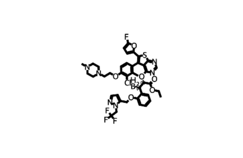 B[C@H](c1ccccc1OCc1ccnn1CC(F)(F)F)[C@H](Oc1ncnc2sc(-c3ccc(F)o3)c(-c3ccc(OCCN4CCN(C)CC4)c(Cl)c3C)c12)C(=O)OCC